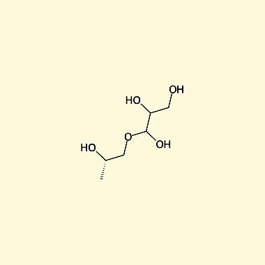 C[C@H](O)COC(O)C(O)CO